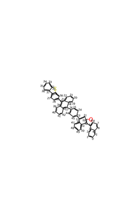 c1ccc2c(c1)ccc1oc3cc(-c4ccc(-c5c6ccccc6c(-c6ccc7c(c6)sc6ccccc67)c6ccccc56)cc4)c4ccccc4c3c12